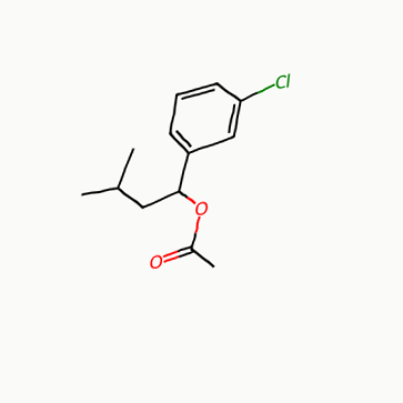 CC(=O)OC(CC(C)C)c1cccc(Cl)c1